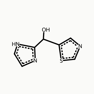 OC(c1ncc[nH]1)c1cncs1